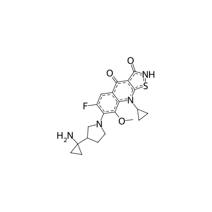 COc1c(N2CCC(C3(N)CC3)C2)c(F)cc2c(=O)c3c(=O)[nH]sc3n(C3CC3)c12